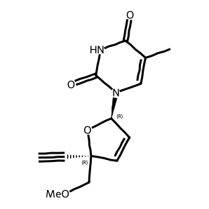 C#C[C@@]1(COC)C=C[C@H](n2cc(C)c(=O)[nH]c2=O)O1